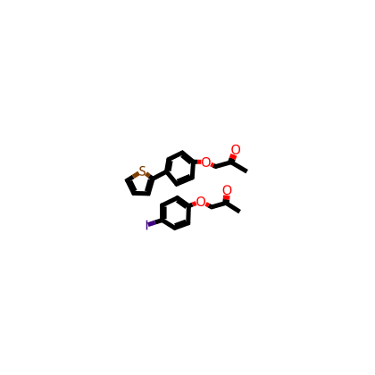 CC(=O)COc1ccc(-c2cccs2)cc1.CC(=O)COc1ccc(I)cc1